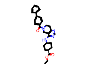 CCOC(=O)[C@H]1CC[C@@H](Nc2ncnc3c2CN(C(=O)c2ccc(-c4ccccc4)cc2)CC3)CC1